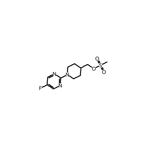 CS(=O)(=O)OCC1CCN(c2ncc(F)cn2)CC1